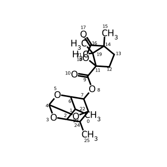 CC1C2OC3OC1C(OC(=O)C14CCC(C)(C(=O)O1)C4(C)C)C(O3)C2C